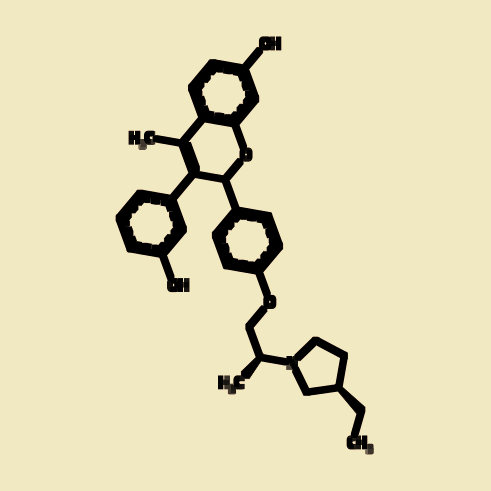 CC[C@@H]1CCN([C@@H](C)COc2ccc(C3Oc4cc(O)ccc4C(C)=C3c3cccc(O)c3)cc2)C1